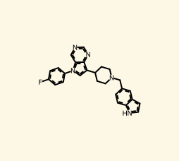 Fc1ccc(-n2cc(C3CCN(Cc4ccc5[nH]ccc5c4)CC3)c3ncncc32)cc1